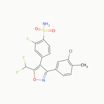 Cc1ccc(-c2noc(C(F)F)c2-c2ccc(S(N)(=O)=O)c(F)c2)cc1Cl